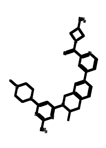 CC1Cc2ccc(-c3ccnc(C(=O)N4CC(N)C4)c3)cc2CN1c1cc(N2CCN(C)CC2)nc(N)n1